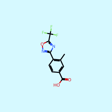 Cc1cc(C(=O)O)ccc1-c1noc(C(F)(F)F)n1